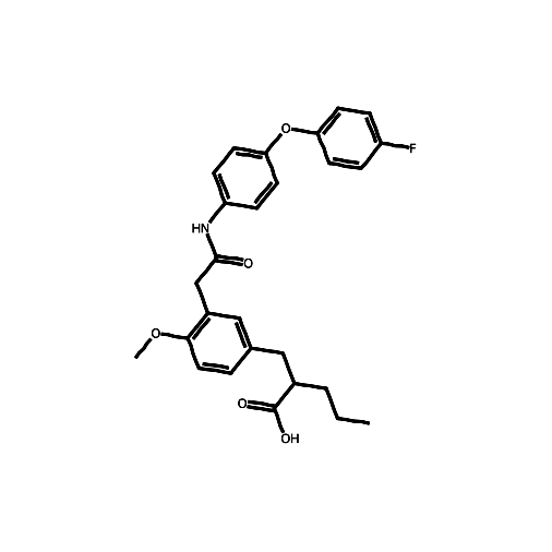 CCCC(Cc1ccc(OC)c(CC(=O)Nc2ccc(Oc3ccc(F)cc3)cc2)c1)C(=O)O